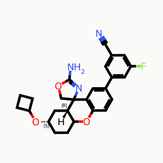 N#Cc1cc(F)cc(-c2ccc3c(c2)C2(COC(N)=N2)[C@H]2C[C@@H](OC4CCC4)CCC2O3)c1